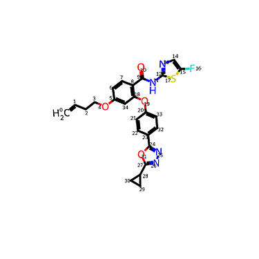 C=CCCOc1ccc(C(=O)Nc2ncc(F)s2)c(Oc2ccc(-c3nnc(C4CC4)o3)cc2)c1